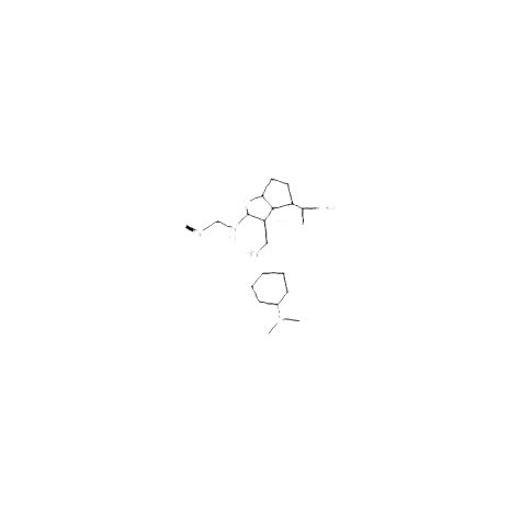 C=NCNC1SC2CCC(C(O)O)[C@H]2C1CN[C@H]1CC[C@H](N(C)C)CC1